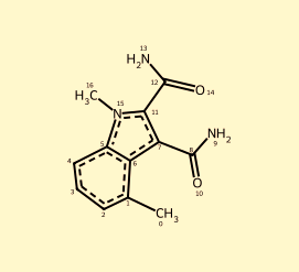 Cc1cccc2c1c(C(N)=O)c(C(N)=O)n2C